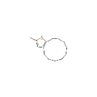 Cc1cc2c(s1)CCCCCCCCC2